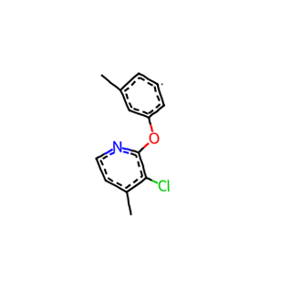 Cc1c[c]cc(Oc2nccc(C)c2Cl)c1